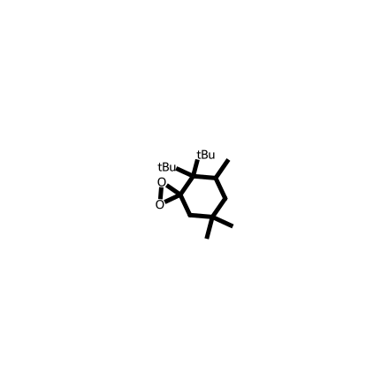 CC1CC(C)(C)CC2(OO2)C1(C(C)(C)C)C(C)(C)C